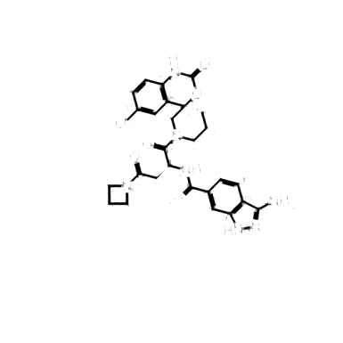 Nc1n[nH]c2cc(C(=O)N[C@@H](CC(=O)N3CCC3)C(=O)N3CCC[C@@]4(C3)OC(=O)Nc3ccc(Cl)cc34)ccc12